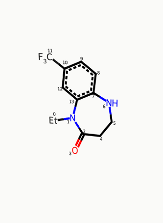 CCN1C(=O)CCNc2ccc(C(F)(F)F)cc21